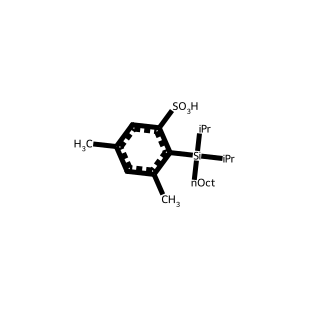 CCCCCCCC[Si](c1c(C)cc(C)cc1S(=O)(=O)O)(C(C)C)C(C)C